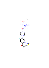 CC1Sc2c(C(=O)O)c(=O)c3cc(F)c(N4CCN(C(=O)NC(=N)NC(=O)OC(C)(C)C)CC4)cc3n21